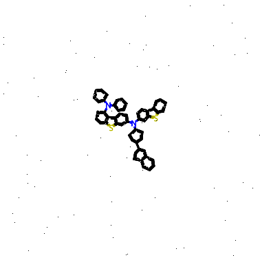 c1ccc(N(c2ccccc2)c2cccc3sc4cc(N(c5ccc(-c6ccc7ccccc7c6)cc5)c5ccc6c(c5)sc5ccccc56)ccc4c23)cc1